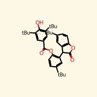 CC(C)(C)c1ccc(OC(=O)c2cc(C(C)(C)C)c(O)c(C(C)(C)C)c2)c(C2C(=O)Oc3ccc(C(C)(C)C)cc32)c1